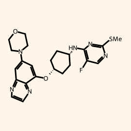 CSc1ncc(F)c(N[C@H]2CC[C@@H](Oc3cc(N4CCOCC4)cc4nccnc34)CC2)n1